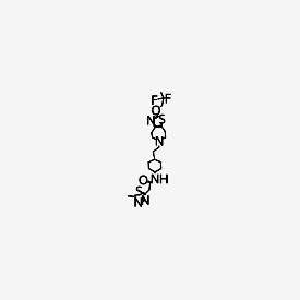 Cc1nnc(CC(=O)N[C@H]2CC[C@H](CCN3CCc4nc(OCC(C)(F)F)sc4CC3)CC2)s1